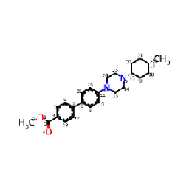 COC(=O)c1ccc(-c2ccc(N3CCN([C@H]4CC[C@@H](C)CC4)CC3)cc2)cc1